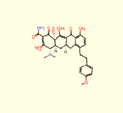 COc1ccc(CCc2ccc(O)c3c2C[C@H]2C[C@H]4[C@H](N(C)C)C(O)=C(C(N)=O)C(=O)[C@@]4(O)C(O)=C2C3=O)cc1